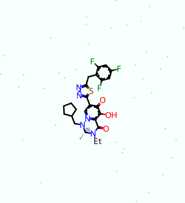 CCN1C(=O)c2c(O)c(=O)c(-c3nnc(Cc4c(F)cc(F)cc4F)s3)cn2N(CC2CCCC2)[C@H]1C